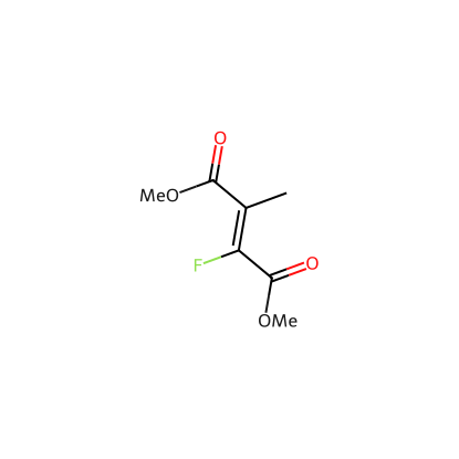 COC(=O)C(C)=C(F)C(=O)OC